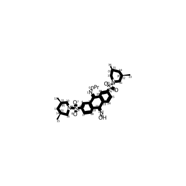 CCCN=C1c2cc(S(=O)(=O)N3C[C@H](C)C[C@H](C)C3)ccc2C(=NO)c2ccc(S(=O)(=O)N3C[C@H](C)C[C@H](C)C3)cc21